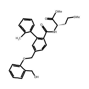 COC(=O)[C@H](CCSC)NC(=O)c1ccc(COc2ccccc2CO)cc1-c1ccccc1C